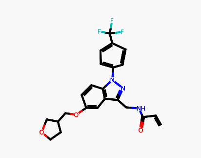 C=CC(=O)NCc1nn(-c2ccc(C(F)(F)F)cc2)c2ccc(OCC3CCOC3)cc12